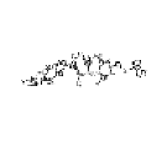 COC(=O)COc1cc(C)cc(CN2CCN(c3nc4ccc(OC(F)(F)F)cc4s3)[C@H](C)C2)c1